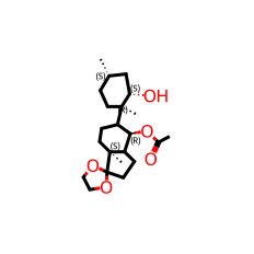 CC(=O)O[C@H]1C2CCC3(OCCO3)[C@@]2(C)CCC1[C@@]1(C)CC[C@H](C)C[C@@H]1O